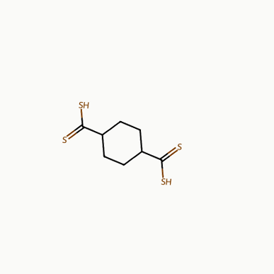 S=C(S)C1CCC(C(=S)S)CC1